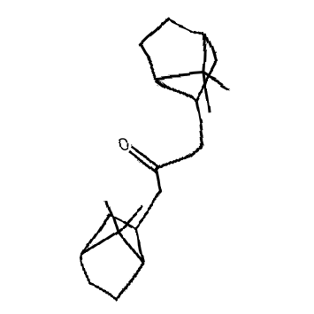 CC1(C)C2CCC1C(CC(=O)CC1CC3CCC1C3(C)C)C2